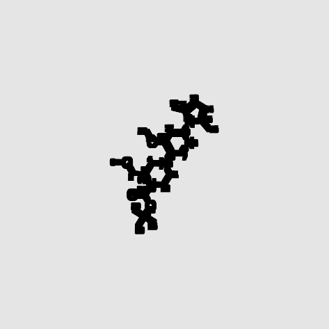 COC[C@H]1CN(c2cnc(-n3c(C)ccc3C)cc2OC)CCN1C(=O)OC(C)(C)C